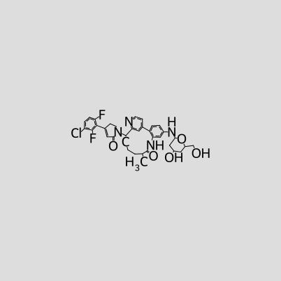 CC1CCCC(N2CCC(c3c(F)ccc(Cl)c3F)=CC2=O)c2cc(ccn2)-c2ccc(NC3CC(O)CC(CO)O3)cc2NC1=O